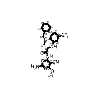 CCOc1nc(N)nc(NC(=O)[C@H](COCc2ccccc2)Nc2cccc(C(F)(F)F)c2)c1C#N